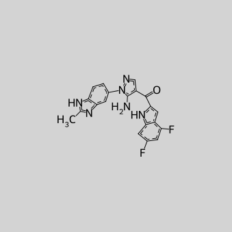 Cc1nc2cc(-n3ncc(C(=O)c4cc5c(F)cc(F)cc5[nH]4)c3N)ccc2[nH]1